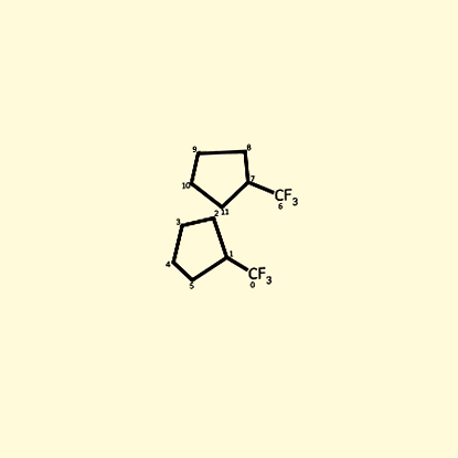 FC(F)(F)C1CCCC1.FC(F)(F)C1CCCC1